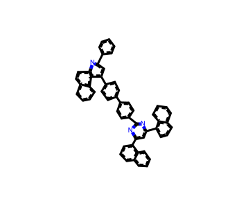 c1ccc(-c2cc(-c3ccc(-c4ccc(-c5nc(-c6cccc7ccccc67)cc(-c6cccc7ccccc67)n5)cc4)cc3)c3c(ccc4ccccc43)n2)cc1